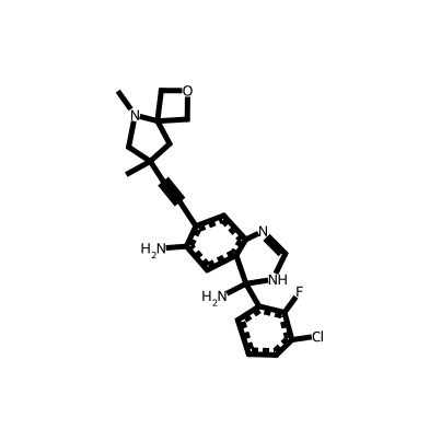 CN1CC(C)(C#Cc2cc3c(cc2N)C(N)(c2cccc(Cl)c2F)NC=N3)CC12COC2